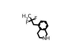 CC(F)(F)Cc1cccc2c1CCNC2